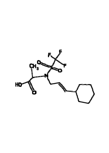 CC(C(=O)O)N(C/C=C/C1CCCCC1)S(=O)(=O)C(F)(F)F